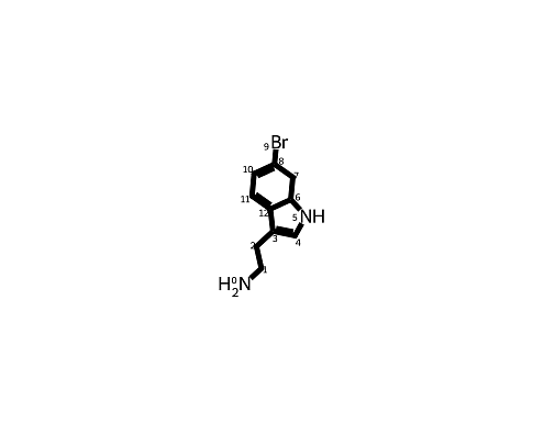 NCCC1=CNC2CC(Br)=CC=C12